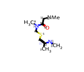 C=N/C(C)=C\SCN(C)C(=O)CNC